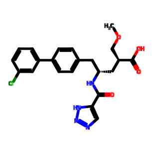 COC[C@H](C[C@@H](Cc1ccc(-c2cccc(Cl)c2)cc1)NC(=O)c1cnn[nH]1)C(=O)O